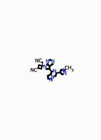 Cn1cc(-c2cn3nccc3c(-c3cn([C@]4(CC#N)C[C@@H](C#N)C4)c4ncncc34)n2)cn1